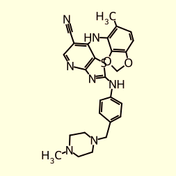 Cc1ccc2c(c1Nc1c(C#N)cnc3nc(Nc4ccc(CN5CCN(C)CC5)cc4)sc13)OCO2